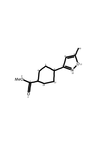 COC(=O)C1CCC(c2cc(C)on2)CC1